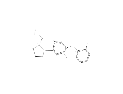 Cc1ccccc1Oc1ccc(N2CCC[C@H]2CC#N)cc1F